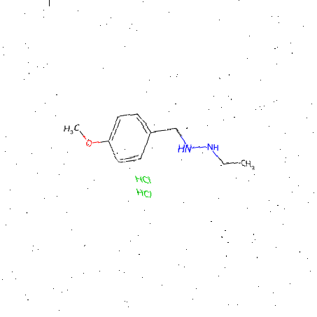 CCNNCc1ccc(OC)cc1.Cl.Cl